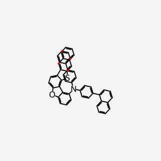 c1ccc(-c2ccc(N(c3ccc(-c4cccc5ccccc45)cc3)c3cccc4oc5ccc6c7cc8ccccc8cc7sc6c5c34)cc2)cc1